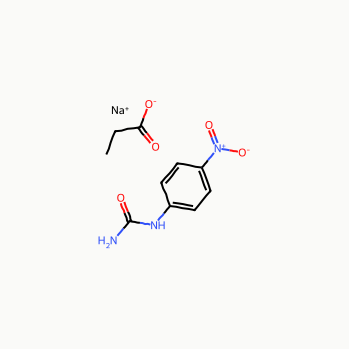 CCC(=O)[O-].NC(=O)Nc1ccc([N+](=O)[O-])cc1.[Na+]